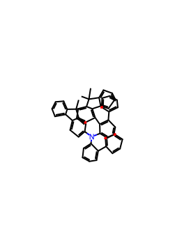 CC1(C)c2ccccc2-c2ccc(N(c3ccccc3-c3ccccc3)c3cccc(-c4ccccc4)c3-c3cccc4c3-c3ccccc3C4(C)C)cc21